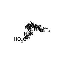 Cc1nc(N2CCN(C(=O)Nc3cccc(C(F)(F)F)c3)CC2)nc2c1ccc(=O)n2-c1ccc(C(=O)NCc2ccc(C(=O)O)cc2)cc1